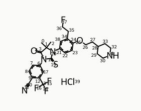 CC1(C)C(=O)N(c2ccc(C#N)c(C(F)(F)F)c2)C(=S)N1c1ccc(OCCC2CCNCC2)c(CCF)c1.Cl